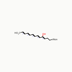 CCCCCCCCCCC/C=C(O)/C=C/C=C/C=C/C=C/C(=O)O